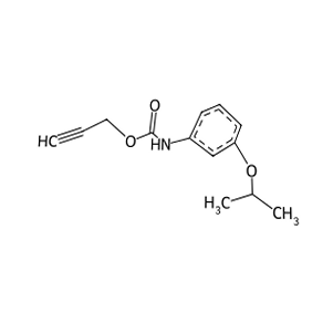 C#CCOC(=O)Nc1cccc(OC(C)C)c1